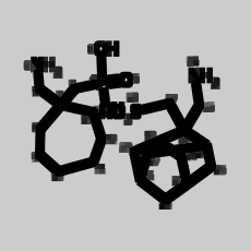 NCC1(CP(=O)(O)O)CCCCCC1.NCC1(CS(=O)(=O)O)C2CC3CC(C2)CC1C3